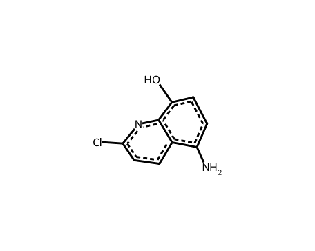 Nc1ccc(O)c2nc(Cl)ccc12